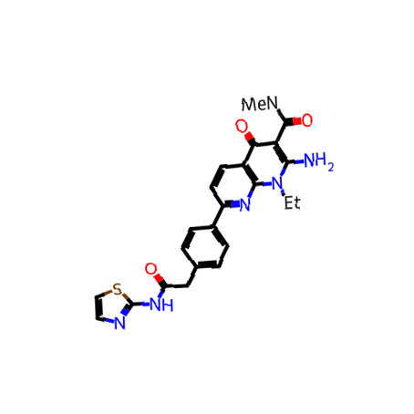 CCn1c(N)c(C(=O)NC)c(=O)c2ccc(-c3ccc(CC(=O)Nc4nccs4)cc3)nc21